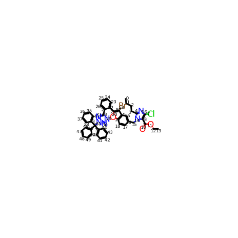 CCCCc1nc(Cl)c(C(=O)OCC)n1Cc1ccc2oc(-c3ccccc3-c3nnn(C(c4ccccc4)(c4ccccc4)c4ccccc4)n3)c(Br)c2c1